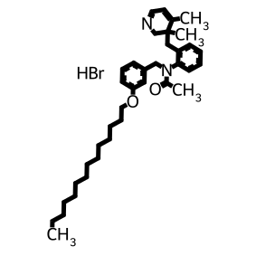 Br.CCCCCCCCCCCCCCOc1cccc(CN(C(C)=O)c2ccccc2CC2(C)CN=CC=C2C)c1